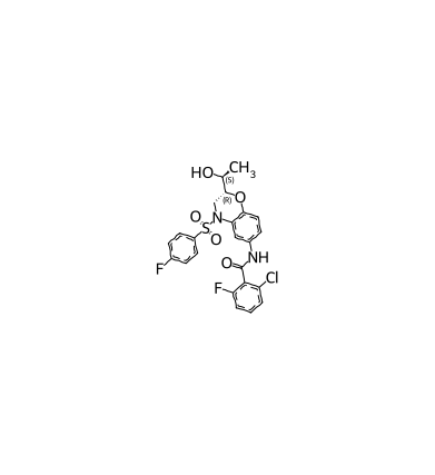 C[C@H](O)[C@H]1CN(S(=O)(=O)c2ccc(F)cc2)c2cc(NC(=O)c3c(F)cccc3Cl)ccc2O1